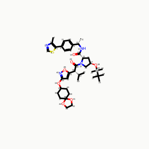 Cc1ncsc1-c1ccc([C@H](C)NC(=O)[C@@H]2C[C@@H](O[Si](C)(C)C(C)(C)C)CN2C(=O)[C@@H](c2cc(OC3CCC4(CC3)OCCO4)no2)C(C)C)cc1